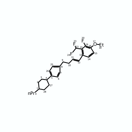 CCCC1CCC(c2ccc(CC/C=C/c3ccc(OCC)c(F)c3C(F)F)cc2)CC1